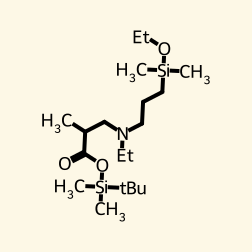 CCO[Si](C)(C)CCCN(CC)CC(C)C(=O)O[Si](C)(C)C(C)(C)C